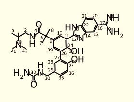 CC(CNC(=O)C(C)(C)c1cc(-c2nc3cc(C(=N)N)ccc3[nH]2)c(O)c(-c2cc(CNC(N)=O)ccc2O)c1)N(C)C